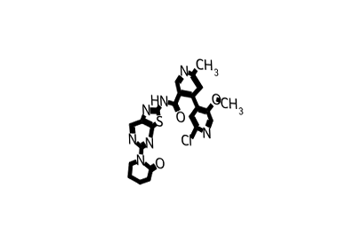 COc1cnc(Cl)cc1-c1cc(C)ncc1C(=O)Nc1nc2cnc(N3CCCCC3=O)nc2s1